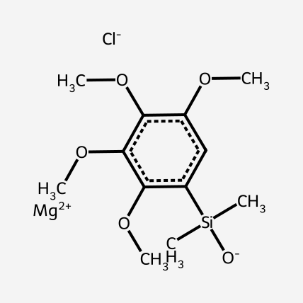 COc1cc([Si](C)(C)[O-])c(OC)c(OC)c1OC.[Cl-].[Mg+2]